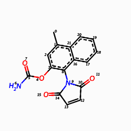 Cc1cc(OC(N)=O)c(N2C(=O)C=CC2=O)c2ccccc12